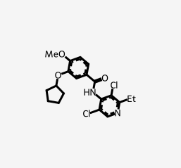 CCc1ncc(Cl)c(NC(=O)c2ccc(OC)c(OC3CCCC3)c2)c1Cl